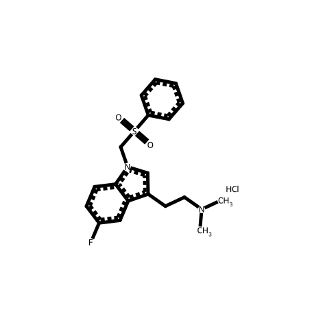 CN(C)CCc1cn(CS(=O)(=O)c2ccccc2)c2ccc(F)cc12.Cl